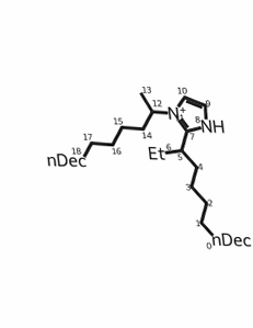 CCCCCCCCCCCCCCC(CC)c1[nH]cc[n+]1C(C)CCCCCCCCCCCCCC